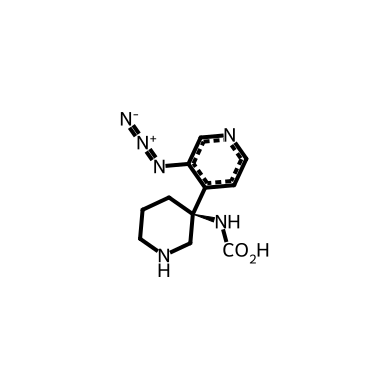 [N-]=[N+]=Nc1cnccc1[C@@]1(NC(=O)O)CCCNC1